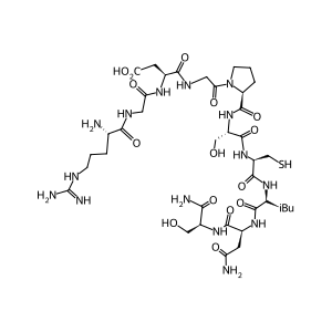 CC[C@H](C)[C@H](NC(=O)[C@H](CS)NC(=O)[C@H](CO)NC(=O)[C@@H]1CCCN1C(=O)CNC(=O)[C@H](CC(=O)O)NC(=O)CNC(=O)[C@@H](N)CCCNC(=N)N)C(=O)N[C@@H](CC(N)=O)C(=O)N[C@@H](CO)C(N)=O